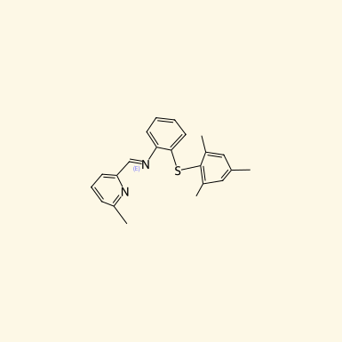 Cc1cc(C)c(Sc2ccccc2/N=C/c2cccc(C)n2)c(C)c1